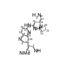 CN/C=C(\C=N)c1cnc2ccc(N/C(N)=C/C(=C\N)N3CCCC3)nc2c1